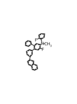 CN(c1ccccc1F)c1cc(-c2ccccc2)c(-c2cccc(-c3ccc4ccccc4c3)c2)cc1F